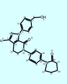 CC(=O)c1nn(-c2ccc(CO)cc2)c2c1CCN(c1ccc(N3CCCCC3=O)cc1)C2=O